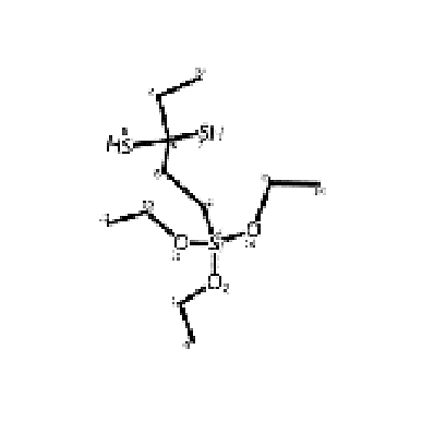 CCO[Si](CCC(S)(S)CC)(OCC)OCC